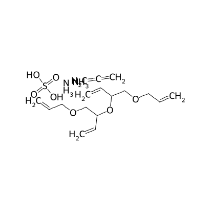 C=C=C.C=CCOCC(C=C)OC(C=C)COCC=C.N.N.O=S(=O)(O)O